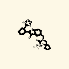 CCCCC(=O)N(Cc1ccc2oc(-c3ccccc3-c3nnn[nH]3)c(Br)c2c1)CC1(OC(=O)OCC)CCCC1